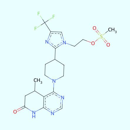 CC1CC(=O)Nc2ncnc(N3CCC(c4nc(C(F)(F)F)cn4CCOS(C)(=O)=O)CC3)c21